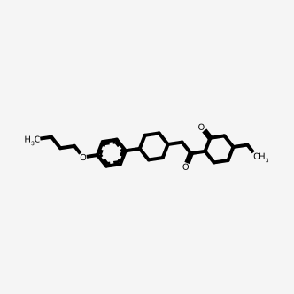 CCCCOc1ccc(C2CCC(CC(=O)C3CCC(CC)CC3=O)CC2)cc1